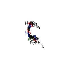 Cc1c(-c2cc3cc(NC(=O)OC4CC5(C4)CN(C(=O)OC(C)(C)C)C5)ncc3c(Cl)c2F)cnc2c1N(C(=O)OC(C)(C)C)CCC2